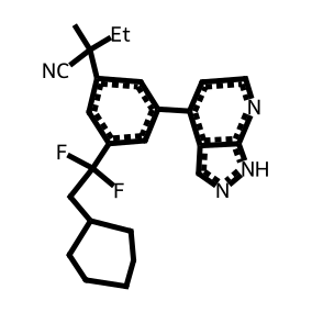 CCC(C)(C#N)c1cc(-c2ccnc3[nH]ncc23)cc(C(F)(F)CC2CCCCC2)c1